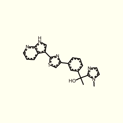 Cn1ccnc1C(C)(O)c1cccc(-c2csc(-c3c[nH]c4ncccc34)n2)c1